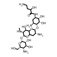 CN[C@@H]1[C@@H](O[C@H]2O[C@H](CO)[C@@H](N)[C@H](O)[C@H]2O)OC2C[C@@H](N)[C@@H](O[C@H]3[C@@H](O)[C@@H](O)[C@H](NC(=O)C(O)CCN)C[C@@H]3N)OC2[C@@H]1O